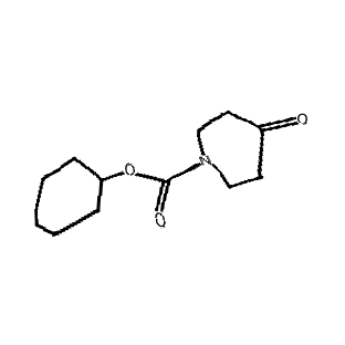 O=C1CCN(C(=O)OC2CCCCC2)CC1